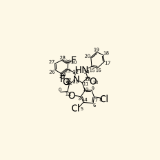 CC1Oc2c(Cl)cc(Cl)cc2C(C(=O)Nc2ccccc2)N(Cc2c(F)cccc2F)C1=O